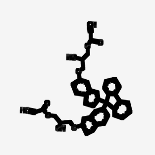 C#CC(=O)OCC(O)COc1ccc2ccc(C3(c4ccc5ccc(OCC(O)COC(=O)C#C)cc5c4)c4ccccc4-c4ccccc43)cc2c1